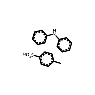 Cc1ccc(S(=O)(=O)O)cc1.c1ccc(Nc2ccccc2)cc1